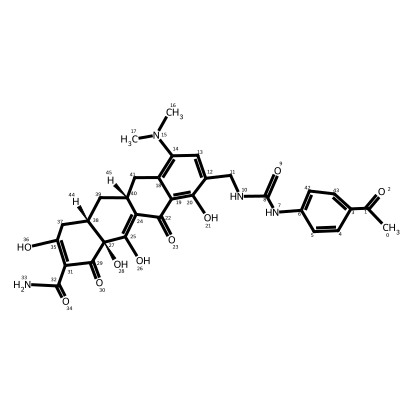 CC(=O)c1ccc(NC(=O)NCc2cc(N(C)C)c3c(c2O)C(=O)C2=C(O)[C@]4(O)C(=O)C(C(N)=O)=C(O)C[C@@H]4C[C@@H]2C3)cc1